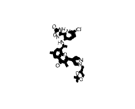 Cc1cc(C(C)Nc2ccc(Cl)nc2-c2noc(=O)[nH]2)c2oc(-c3cnn(CC4COC(C)(C)O4)c3)c(C)c(=O)c2c1